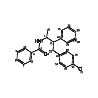 CC(NC(=O)c1ccccc1)C(Cc1ccc(Cl)cc1)c1cccnc1